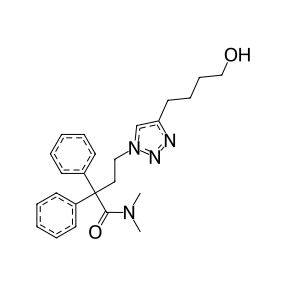 CN(C)C(=O)C(CCn1cc(CCCCO)nn1)(c1ccccc1)c1ccccc1